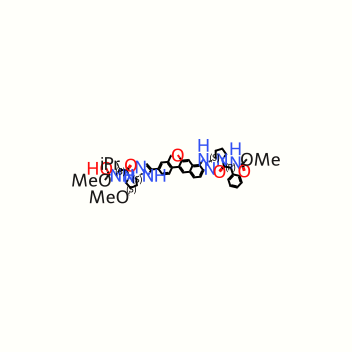 COC[C@H]1C[C@@H](c2ncc(-c3ccc4c(c3)COc3cc5c(ccc6nc([C@@H]7CCCN7C(=O)[C@H](NC(=O)OC)c7ccccc7)[nH]c65)cc3-4)[nH]2)N(C(=O)[C@@H](NC(O)OC)C(C)C)C1